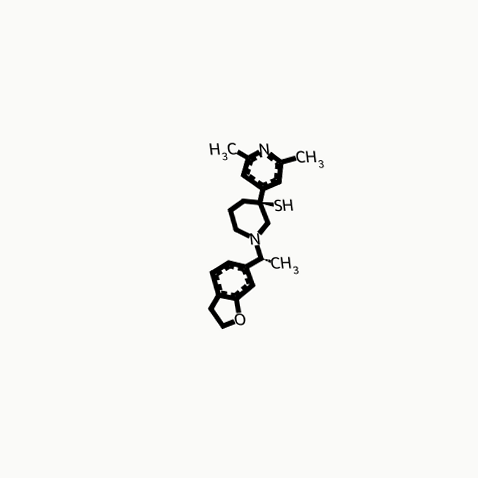 Cc1cc([C@@]2(S)CCCN([C@H](C)c3ccc4c(c3)OCC4)C2)cc(C)n1